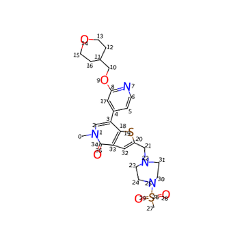 Cn1cc(-c2ccnc(OCC3CCOCC3)c2)c2sc(CN3CCN(S(C)(=O)=O)CC3)cc2c1=O